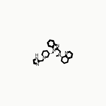 CN(Cc1nc2ccccc2n1C[C@H]1CCCN(Cc2ncc[nH]2)C1)[C@H]1CCCc2cccnc21